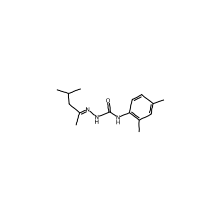 C/C(CC(C)C)=N\NC(=O)Nc1ccc(C)cc1C